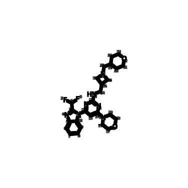 FC(F)c1nc2ccccc2n1-c1cc(N2CCOCC2)nc(NCC2CN(CC3CCOCC3)C2)n1